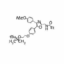 CCC(=O)NCc1nc(-c2ccc(OC)cc2)c(-c2ccc(OCCO[Si](C)(C)C(C)(C)C)cc2)o1